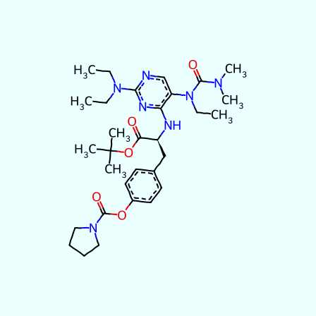 CCN(CC)c1ncc(N(CC)C(=O)N(C)C)c(N[C@@H](Cc2ccc(OC(=O)N3CCCC3)cc2)C(=O)OC(C)(C)C)n1